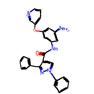 Nc1cc(NC(=O)c2cn(-c3ccccc3)nc2-c2ccccc2)cc(Oc2cccnc2)c1